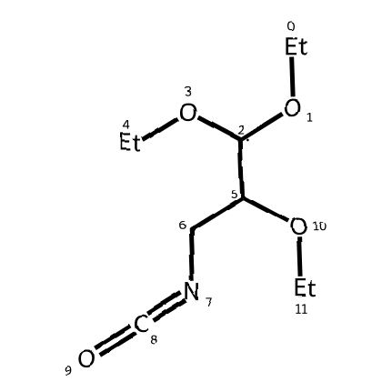 CCO[C](OCC)C(CN=C=O)OCC